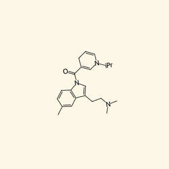 Cc1ccc2c(c1)c(CCN(C)C)cn2C(=O)C1=CN(C(C)C)C=CC1